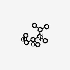 c1ccc(-c2cc(-c3ccccc3)cc(-c3cc(-c4ccc(-c5cccc6oc7ccccc7c56)c5oc6ccccc6c45)nc(-c4ccccc4)n3)c2)cc1